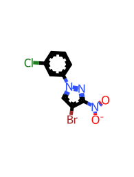 O=[N+]([O-])c1nn(-c2cccc(Cl)c2)cc1Br